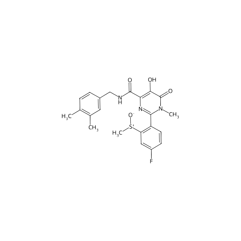 Cc1ccc(CNC(=O)c2nc(-c3ccc(F)cc3[S+](C)[O-])n(C)c(=O)c2O)cc1C